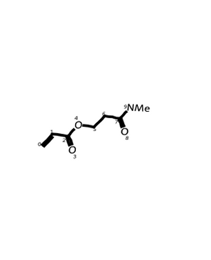 C=CC(=O)OCCC(=O)NC